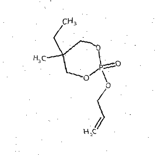 C=CCOP1(=O)OCC(C)(CC)CO1